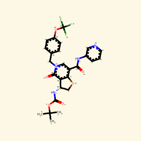 CC(C)(C)OC(=O)N[C@H]1CSc2c(C(=O)Nc3cccnc3)cn(Cc3ccc(OC(F)(F)F)cc3)c(=O)c21